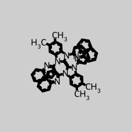 Cc1cc2c(cc1C)N(c1ccc3ccccc3n1)C(=C1N(c3ccc4ccccc4n3)c3cc(C)c(C)cc3N1c1ccc3ccccc3n1)N2c1ccc2ccccc2n1